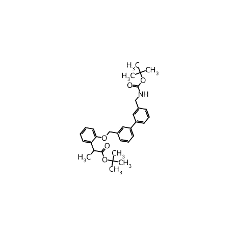 CC(C(=O)OC(C)(C)C)c1ccccc1OCc1cccc(-c2cccc(CNC(=O)OC(C)(C)C)c2)c1